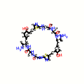 C=C(N)[C@@H]1Cc2ccc(O)c(c2)Cc2cnc(s2)NCC(=O)N[C@@H](C)C(=O)N[C@H](C(=C)N)Cc2ccc(O)c(c2)Cc2cnc(s2)NCC(=O)N[C@@H](C)C(=O)N1